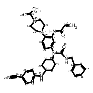 C=CC(=O)Nc1cc(N(C(=O)NCc2ccccc2)C2CCC(Nc3ccc(C#N)cn3)CC2)ccc1N1CCN(C(C)=O)CC1